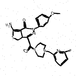 COc1ccc(N2N=C(C(=O)N3CCN(c4cccc(F)n4)CC3)C3CSC(N)=C3C2=O)cc1